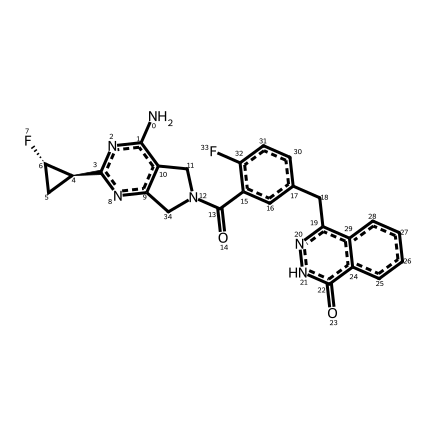 Nc1nc([C@H]2C[C@@H]2F)nc2c1CN(C(=O)c1cc(Cc3n[nH]c(=O)c4ccccc34)ccc1F)C2